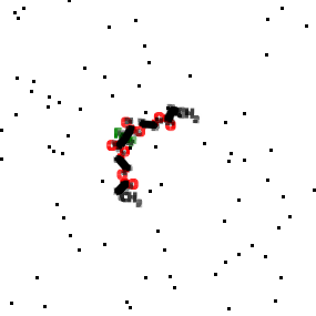 C=CC(=O)OCCOC(=O)C(F)(F)C(=O)OCCOC(=O)C=C